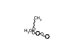 CCCCCCO[C@H](C)Oc1ccc(OCc2ccccc2)cc1